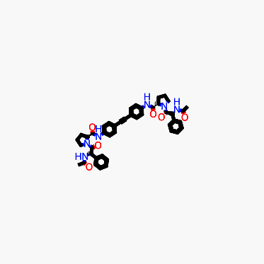 CC(=O)N[C@@H](C(=O)N1CCC[C@H]1C(=O)Nc1ccc(C#Cc2ccc(NC(=O)[C@@H]3CCCN3C(=O)[C@H](NC(C)=O)c3ccccc3)cc2)cc1)c1ccccc1